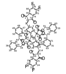 O=C1C(=Cc2cc3c(s2)C2=C(c4sc(C=C5C(=O)c6cc(F)c(F)cc6C5=O)cc4C2(C(=O)OCc2ccccc2)C(=O)OCc2ccccc2)C3(C(=O)OCc2ccccc2)C(=O)OCc2ccccc2)C(=O)c2cc(F)c(F)cc21